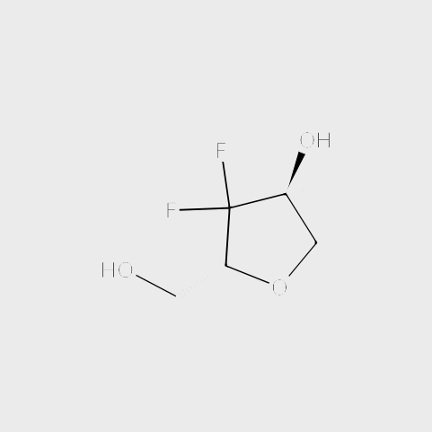 OC[C@H]1OC[C@H](O)C1(F)F